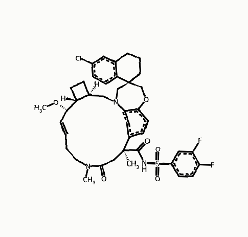 CO[C@H]1/C=C/CCN(C)C(=O)C[C@](C)(C(=O)NS(=O)(=O)c2ccc(F)c(F)c2)c2ccc3c(c2)N(C[C@@H]2CC[C@H]21)C[C@@]1(CCCc2cc(Cl)ccc21)CO3